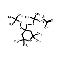 CC(=O)O.CC1(C)CC(OOC(C)(C)C)(OOC(C)(C)C)CC(C)(C)N1